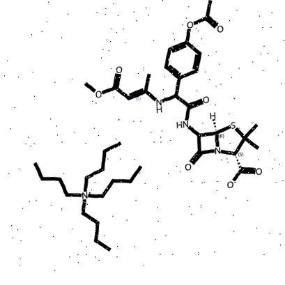 CCCC[N+](CCCC)(CCCC)CCCC.COC(=O)/C=C(\C)NC(C(=O)NC1C(=O)N2[C@@H]1SC(C)(C)[C@@H]2C(=O)[O-])c1ccc(OC(C)=O)cc1